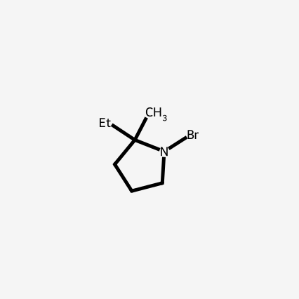 CCC1(C)CCCN1Br